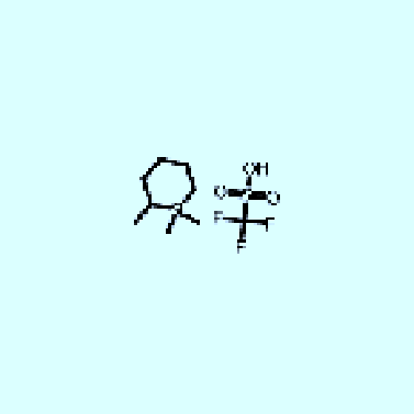 CC1CCCC[Si]1(C)C.O=S(=O)(O)C(F)(F)F